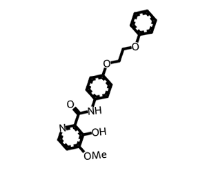 COc1ccnc(C(=O)Nc2ccc(OCCOc3ccccc3)cc2)c1O